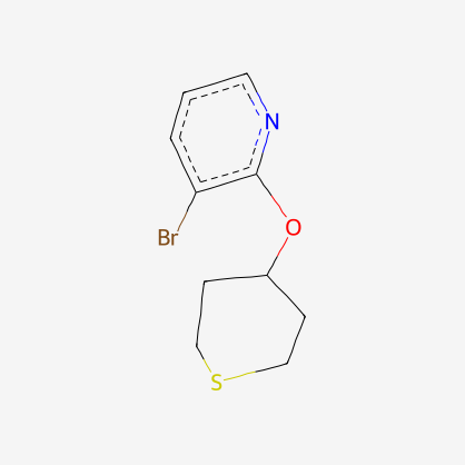 Brc1cccnc1OC1CCSCC1